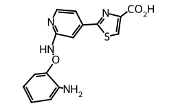 Nc1ccccc1ONc1cc(-c2nc(C(=O)O)cs2)ccn1